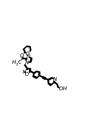 C[C@H](OC1CCCCO1)c1nccn1Cc1cc(-c2ccc(C#Cc3ccc(CCO)nc3)cc2)on1